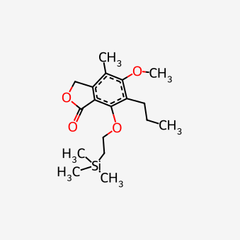 CCCc1c(OC)c(C)c2c(c1OCC[Si](C)(C)C)C(=O)OC2